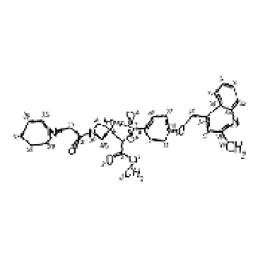 COC(=O)CC1(NS(=O)(=O)c2ccc(OCc3cc(C)nc4ccccc34)cc2)CN(C(=O)CN2CCCCC2)C1